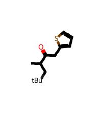 CC(CC(C)(C)C)C(=O)Cc1cccs1